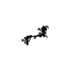 CCC1C(=O)N(C)c2cnc(Nc3ccc(C(=O)NCOCCNCCCCC(=O)Nc4cccc5c4CN(C(C)CCC(=O)NC=O)C5=O)cc3OC)nc2N1C1CCCC1